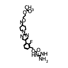 CC(=O)OCCON=C1CCN(c2ncc(-c3cccc(COC(=O)NC(=N)N)c3F)cn2)CC1